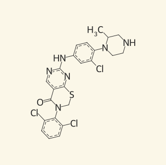 CC1CNCCN1c1ccc(Nc2ncc3c(n2)SCN(c2c(Cl)cccc2Cl)C3=O)cc1Cl